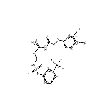 C=C(CCNS(=O)(=O)Cc1cccc(C(F)(F)F)c1)NC(=O)COc1ccc(Cl)c(F)c1